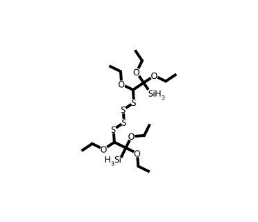 CCOC(SSSSC(OCC)C([SiH3])(OCC)OCC)C([SiH3])(OCC)OCC